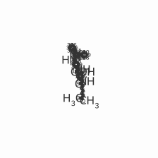 CC(C)CCCCCC(=O)Nc1ccc(C(=O)Nc2ccc(Nc3nc(N4CCCCC4)nc(N4CCCCC4)n3)cc2)c(O)c1